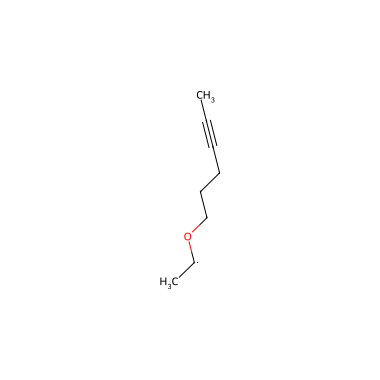 CC#CCCCO[CH]C